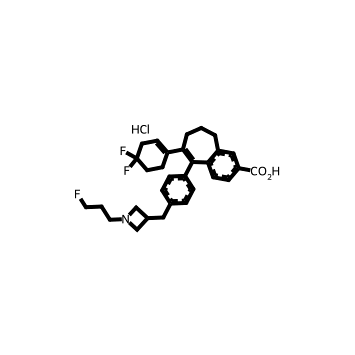 Cl.O=C(O)c1ccc2c(c1)CCCC(C1=CCC(F)(F)CC1)=C2c1ccc(CC2CN(CCCF)C2)cc1